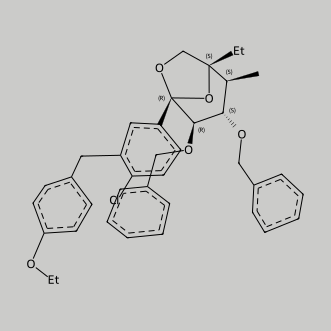 CCOc1ccc(Cc2cc([C@@]34OC[C@@](CC)(O3)[C@@H](C)[C@H](OCc3ccccc3)[C@H]4OCc3ccccc3)ccc2Cl)cc1